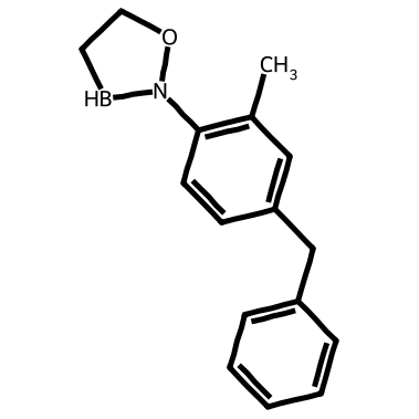 Cc1cc(Cc2ccccc2)ccc1N1BCCO1